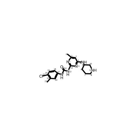 Cc1cc(NC2CCCNC2)nc(NC(=O)Nc2ccc(Cl)c(C)c2)n1